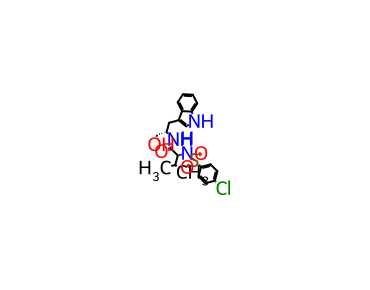 CC(C)[C@H](NS(=O)(=O)c1ccc(Cl)cc1)C(=O)N[C@H](CO)Cc1c[nH]c2ccccc12